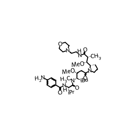 CC[C@H](C)[C@@H]([C@@H](CC(=O)N1CCC[C@H]1[C@H](OC)[C@@H](C)C(=O)NCCN1CCOCC1)OC)N(C)C(=O)[C@@H](NC(=O)c1ccc(N)cc1)C(C)C